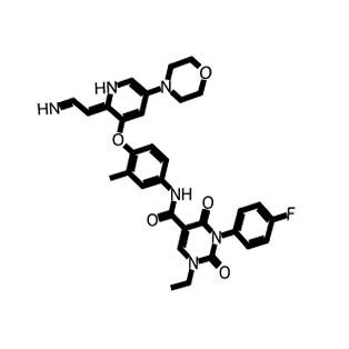 CCn1cc(C(=O)Nc2ccc(OC3=CC(N4CCOCC4)=CN/C3=C\C=N)c(C)c2)c(=O)n(-c2ccc(F)cc2)c1=O